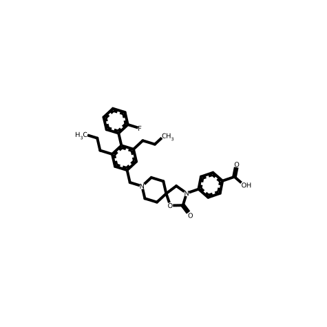 CCCc1cc(CN2CCC3(CC2)CN(c2ccc(C(=O)O)cc2)C(=O)O3)cc(CCC)c1-c1ccccc1F